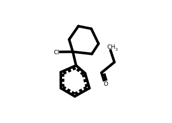 CCC=O.ClC1(c2ccccc2)CCCCC1